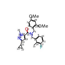 COc1ccc(CN(Cc2cccc(F)c2C)C(=O)c2cc(C3CC3)nn2C)c(OC)c1